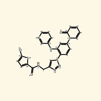 O=C(NCc1cn(-c2ccc(-n3ccccc3=O)cc2Oc2cccnc2)nn1)c1ccc(Cl)s1